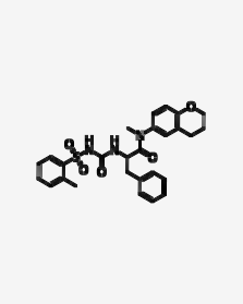 Cc1ccccc1S(=O)(=O)NC(=O)NC(Cc1ccccc1)C(=O)N(C)c1ccc2c(c1)CCCO2